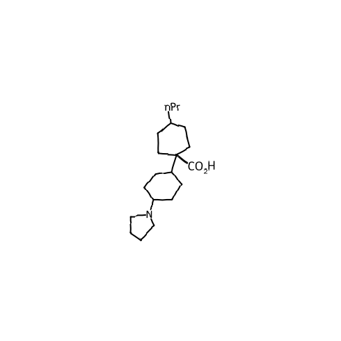 CCCC1CCC(C(=O)O)(C2CCC(N3CCCC3)CC2)CC1